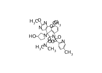 COc1ncc(C2(N3C[C@H](O)C[C@H]3C(=O)N(C)C)C(=O)N(S(=O)(=O)c3ccc(C)cn3)c3ccc(Cl)cc32)c(OC)n1